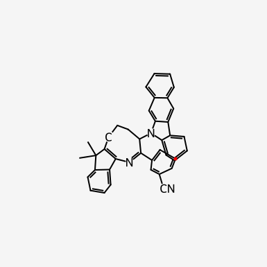 CC1(C)C2=C(/N=C(/c3cccc(C#N)c3)C(n3c4ccccc4c4cc5ccccc5cc43)CCC2)c2ccccc21